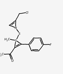 CC(=O)C1=C(c2ccc(F)cc2)S1(C)SN1C=C1CCl